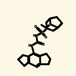 CCN1C2CCC1CN(S(=O)(=O)NC(=O)Nc1c3c(cc4c1CCC4)CCC3)C2